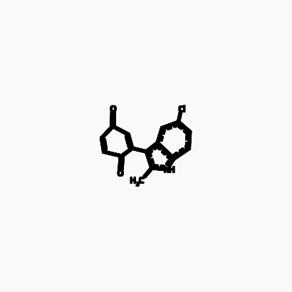 Cc1[nH]c2ccc(Cl)cc2c1C1=CC(=O)C=CC1=O